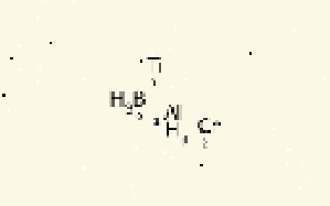 B.[AlH3].[Cr].[Ti]